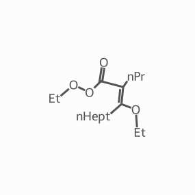 CCCCCCC/C(OCC)=C(/CCC)C(=O)OOCC